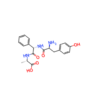 C[C@H](NC(=O)[C@@H](NC(=O)[C@@H](N)Cc1ccc(O)cc1)c1ccccc1)C(=O)O